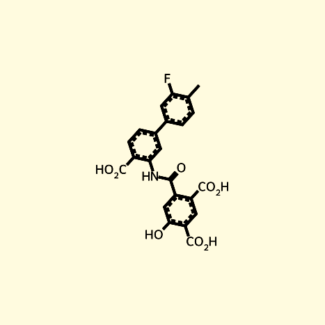 Cc1ccc(-c2ccc(C(=O)O)c(NC(=O)c3cc(O)c(C(=O)O)cc3C(=O)O)c2)cc1F